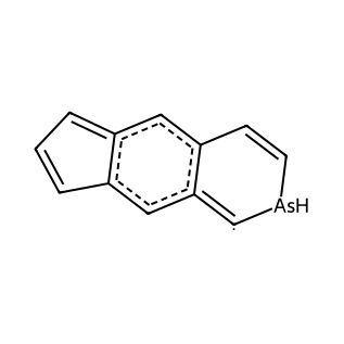 [C]1=c2cc3c(cc2C=C[AsH]1)=CC=C3